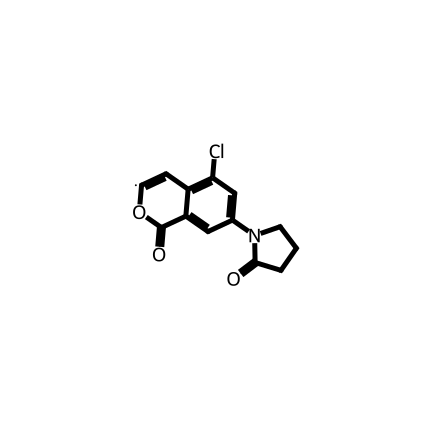 O=C1CCCN1c1cc(Cl)c2c[c]oc(=O)c2c1